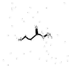 COC(=O)CC[NH]